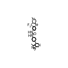 Cc1nn(C)c2cncc(-c3ccc(NC(=O)Nc4ccc(N(C)C5CCN(C)CC5)c(C(F)(F)F)c4)cc3)c12